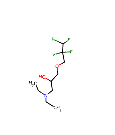 CCN(CC)CC(O)COCC(F)(F)C(F)F